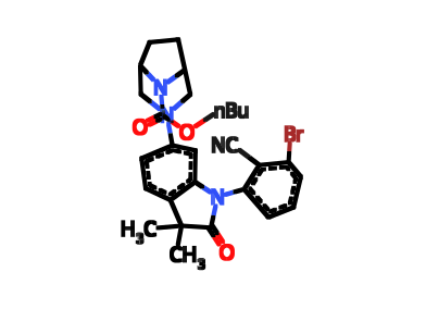 CCCCOC(=O)N1C2CCC1CN(c1ccc3c(c1)N(c1cccc(Br)c1C#N)C(=O)C3(C)C)C2